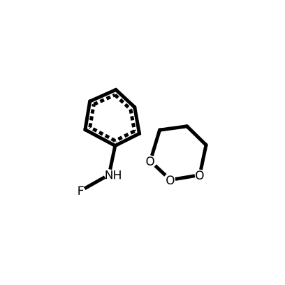 C1COOOC1.FNc1ccccc1